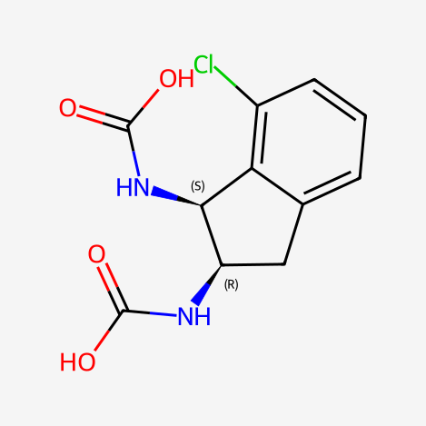 O=C(O)N[C@@H]1Cc2cccc(Cl)c2[C@@H]1NC(=O)O